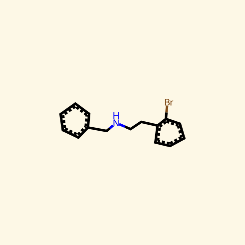 Brc1ccccc1CCNCc1ccccc1